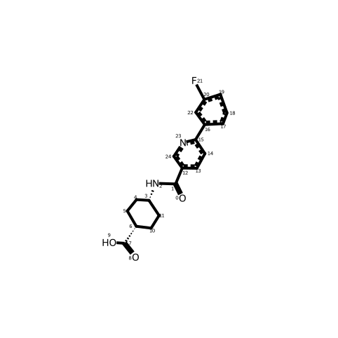 O=C(N[C@H]1CC[C@@H](C(=O)O)CC1)c1ccc(-c2cccc(F)c2)nc1